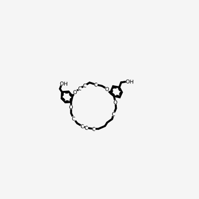 OCc1ccc2c(c1)OCCCCCOc1cc(CO)ccc1OCCCCCCCCCCCCO2